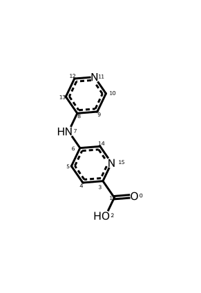 O=C(O)c1ccc(Nc2ccncc2)cn1